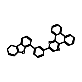 C1=Cc2oc3c(-c4cccc(-c5cnc6c7ccccc7c7ccccc7c6n5)c4)cccc3c2CC1